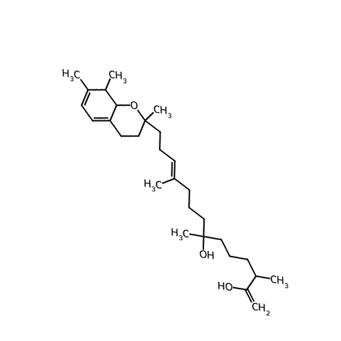 C=C(O)C(C)CCCC(C)(O)CCC/C(C)=C/CCC1(C)CCC2=CC=C(C)C(C)C2O1